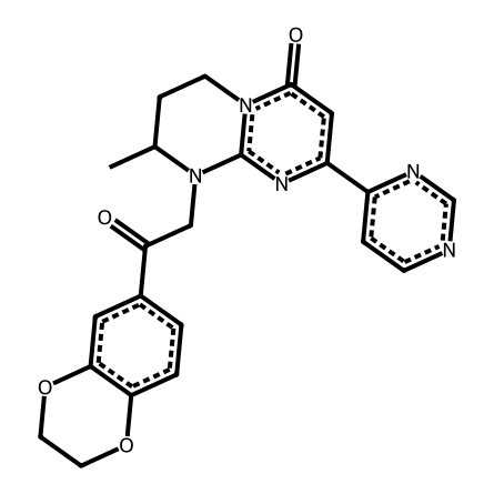 CC1CCn2c(nc(-c3ccncn3)cc2=O)N1CC(=O)c1ccc2c(c1)OCCO2